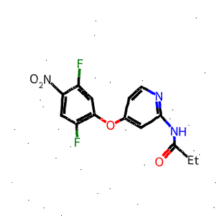 CCC(=O)Nc1cc(Oc2cc(F)c([N+](=O)[O-])cc2F)ccn1